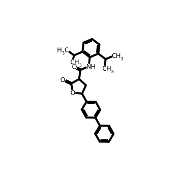 CC(C)c1cccc(C(C)C)c1NC(=O)C1CC(c2ccc(-c3ccccc3)cc2)OC1=O